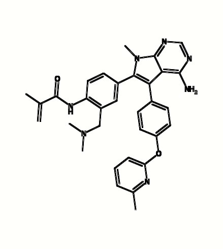 C=C(C)C(=O)Nc1ccc(-c2c(-c3ccc(Oc4cccc(C)n4)cc3)c3c(N)ncnc3n2C)cc1CN(C)C